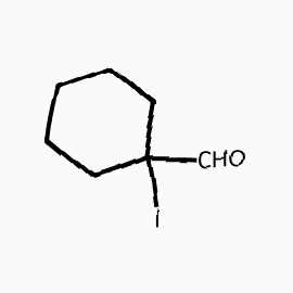 O=CC1(I)CCCCC1